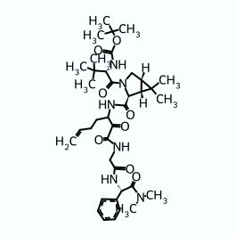 C=CCCC(NC(=O)[C@@H]1[C@@H]2[C@H](CN1C(=O)[C@@H](NC(=O)OC(C)(C)C)C(C)(C)C)C2(C)C)C(=O)C(=O)NCC(=O)N[C@H](C(=O)N(C)C)c1ccccc1